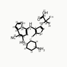 Cc1sccc1Nc1cc(N[C@H]2CC[C@H](N)CC2)c(C#N)c2ccnn12.O=C(O)C(F)(F)F